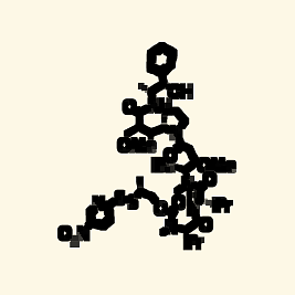 CC[C@H](C)[C@@H]([C@@H](CC(=O)N1CCC[C@H]1[C@H](OC)[C@@H](C)C(=O)N[C@H](C)[C@@H](O)c1ccccc1)OC)N(C)C(=O)[C@@H](NC(=O)[C@H](C(C)C)N(C)C(=O)OC[C@H](C)SSc1ccc([N+](=O)[O-])cn1)C(C)C